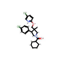 CC1(COc2ccc(Cl)cn2)CN(C(=O)C2CCCCC2)CC1c1ccc(Cl)cc1